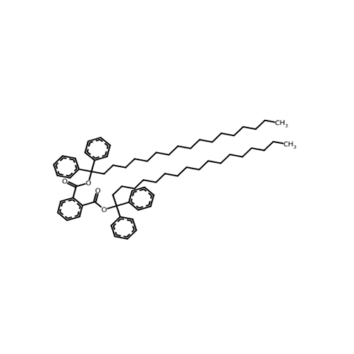 CCCCCCCCCCCCCCCCCC(OC(=O)c1ccccc1C(=O)OC(CCCCCCCCCCCCCCCCC)(c1ccccc1)c1ccccc1)(c1ccccc1)c1ccccc1